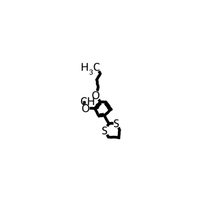 CCCCOc1ccc(C2SCCCS2)cc1OC